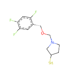 Fc1cc(F)c(COCN2CCC(S)C2)cc1F